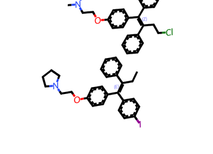 CC/C(=C(\c1ccc(I)cc1)c1ccc(OCCN2CCCC2)cc1)c1ccccc1.CN(C)CCOc1ccc(/C(=C(/CCCl)c2ccccc2)c2ccccc2)cc1